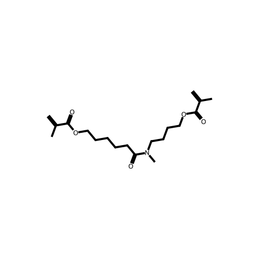 C=C(C)C(=O)OCCCCCC(=O)N(C)CCCCOC(=O)C(=C)C